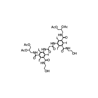 CC(=O)OCC(CNC(=O)c1c(I)c(NC(=O)CC(=O)Nc2c(I)c(C(=O)NCCO)c(I)c(C(=O)NCC(COC(C)=O)OC(C)=O)c2I)c(I)c(C(=O)NCCO)c1I)OC(C)=O